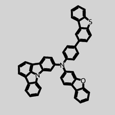 c1ccc2c(c1)oc1cc(N(c3ccc(-c4ccc5sc6ccccc6c5c4)cc3)c3ccc4c5cccc6c7ccccc7n(c4c3)c65)ccc12